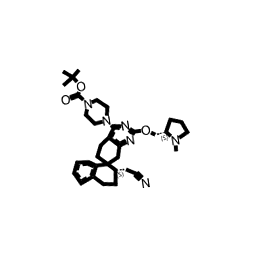 CN1CCC[C@H]1COc1nc2c(c(N3CCN(C(=O)OC(C)(C)C)CC3)n1)CCC1(C2)c2ccccc2CC[C@H]1CC#N